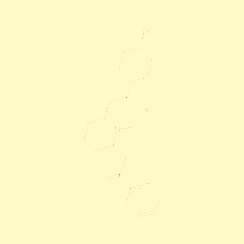 CN1C(CC(=O)c2ccccc2)CCCC1CC(C=O)c1ccc(Br)cc1